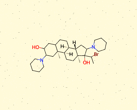 CC(Br)C1(O)C(N2CCCCC2)C[C@H]2[C@@H]3CCC4CC(O)C(N5CCCCC5)C[C@]4(C)[C@@H]3CC[C@@]21C